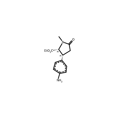 CCOC(=O)[C@H]1[C@@H](c2ccc(N)cc2)CC(=O)N1C